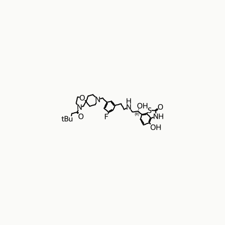 CC(C)(C)CC(=O)N1CCOC2(CCN(Cc3cc(F)cc(CCNC[C@H](O)c4ccc(O)c5[nH]c(=O)sc45)c3)CC2)C1